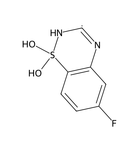 OS1(O)N[C]=Nc2cc(F)ccc21